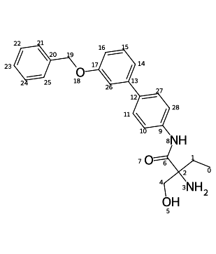 CCC(N)(CO)C(=O)Nc1ccc(-c2cccc(OCc3ccccc3)c2)cc1